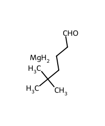 CC(C)(C)CCCC=O.[MgH2]